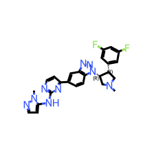 CN1C[C@@H](c2cc(F)cc(F)c2)[C@@H](n2nnc3cc(-c4ccnc(Nc5ccnn5C)n4)ccc32)C1